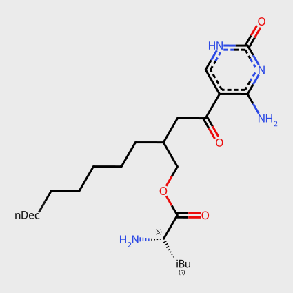 CCCCCCCCCCCCCCCC(COC(=O)[C@@H](N)[C@@H](C)CC)CC(=O)c1c[nH]c(=O)nc1N